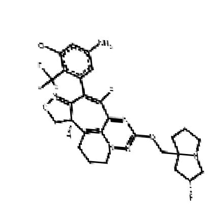 Nc1cc(Cl)c(C(F)(F)F)c(C2=C(F)C3=NC(OC[C@@]45CCCN4C[C@H](F)C5)=NN4CCCC(=C34)[C@H]3CON=C23)c1